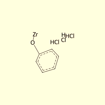 Cl.Cl.Cl.[Zr][O]c1ccccc1